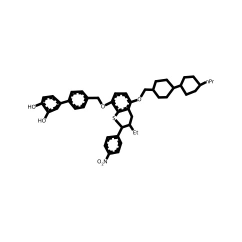 CCCC1CCC(C2CCC(COc3ccc(OCc4ccc(-c5ccc(O)c(O)c5)cc4)c4c3CC(CC)C(c3ccc([N+](=O)[O-])cc3)S4)CC2)CC1